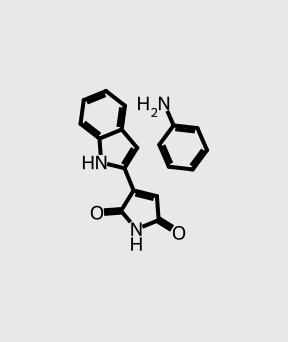 Nc1ccccc1.O=C1C=C(c2cc3ccccc3[nH]2)C(=O)N1